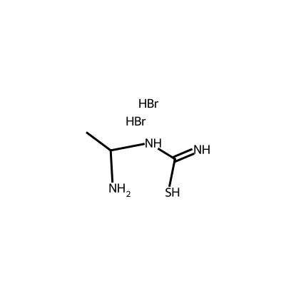 Br.Br.CC(N)NC(=N)S